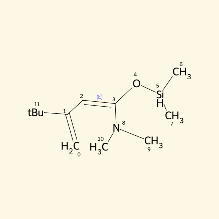 C=C(/C=C(/O[SiH](C)C)N(C)C)C(C)(C)C